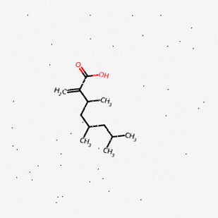 C=C(C(=O)O)C(C)CC(C)CC(C)C